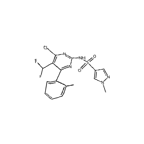 Cc1ccccc1-c1nc(NS(=O)(=O)c2cnn(C)c2)nc(Cl)c1C(F)F